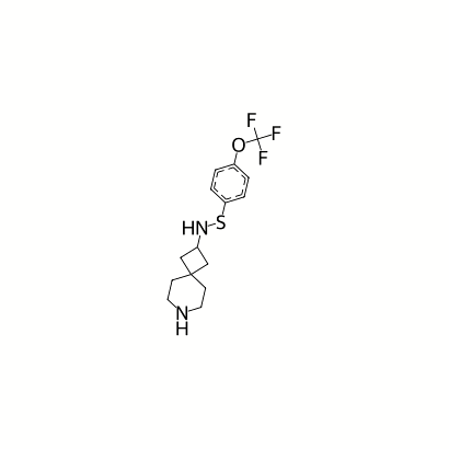 FC(F)(F)Oc1ccc(SNC2CC3(CCNCC3)C2)cc1